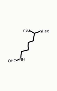 CCCCCCC(CCCC)CCCCNC=O